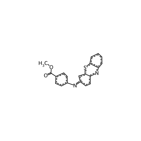 COC(=O)c1ccc(N=c2ccc3nc4ccccc4sc-3c2)cc1